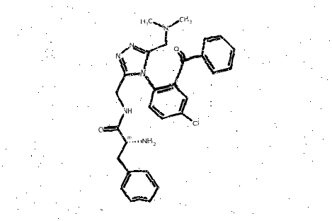 CN(C)Cc1nnc(CNC(=O)[C@H](N)Cc2ccccc2)n1-c1ccc(Cl)cc1C(=O)c1ccccc1